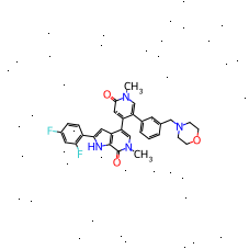 Cn1cc(-c2cccc(CN3CCOCC3)c2)c(-c2cn(C)c(=O)c3[nH]c(-c4ccc(F)cc4F)cc23)cc1=O